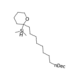 CCCCCCCCCCCCCCCCCCC1([SiH](C)C)CCCCO1